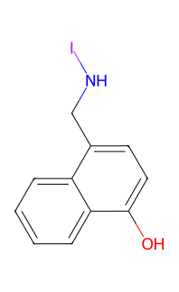 Oc1ccc(CNI)c2ccccc12